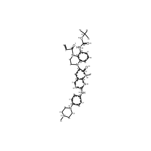 C=CC(=O)N1CCN(c2cc3cnc(Nc4ccc(N5CCN(C)CC5)cc4)nc3n(C)c2=O)c2cccc(NC(=O)OC(C)(C)C)c21